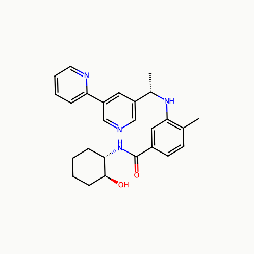 Cc1ccc(C(=O)N[C@H]2CCCC[C@@H]2O)cc1N[C@@H](C)c1cncc(-c2ccccn2)c1